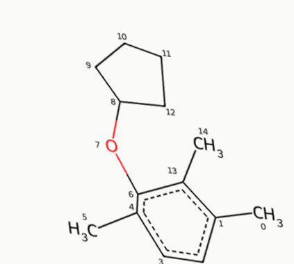 Cc1ccc(C)c(OC2CCCC2)c1C